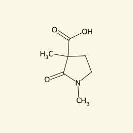 CN1CCC(C)(C(=O)O)C1=O